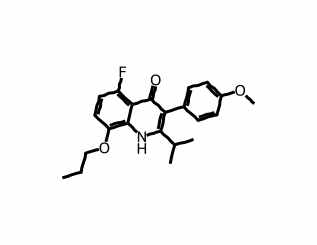 CCCOc1ccc(F)c2c(=O)c(-c3ccc(OC)cc3)c(C(C)C)[nH]c12